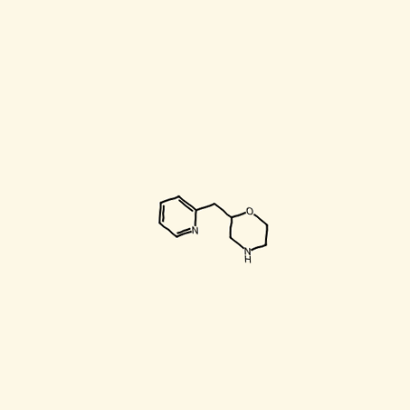 c1ccc(CC2CNCCO2)nc1